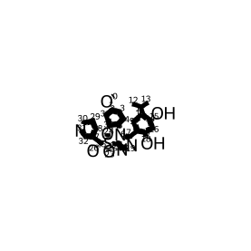 COc1ccc(-n2c(-c3cc(C(C)C)c(O)cc3O)nnc2S(=O)(=O)C(=O)c2cccnc2)cc1